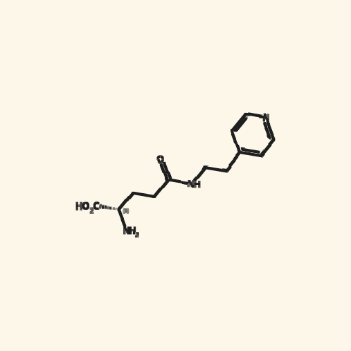 N[C@@H](CCC(=O)NCCc1ccncc1)C(=O)O